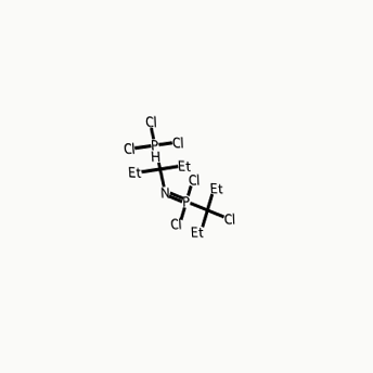 CCC(Cl)(CC)P(Cl)(Cl)=NC(CC)(CC)[PH](Cl)(Cl)Cl